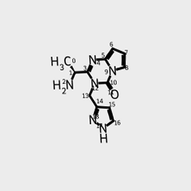 C[C@H](N)c1nc2cccn2c(=O)n1Cc1cc[nH]n1